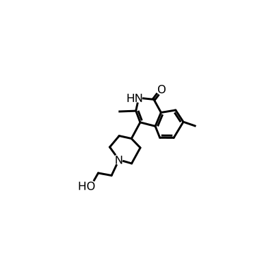 Cc1ccc2c(C3CCN(CCO)CC3)c(C)[nH]c(=O)c2c1